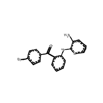 CCc1ccc(C(=O)c2ccccc2Nc2ncccc2N)cc1